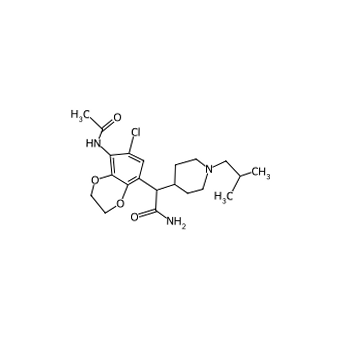 CC(=O)Nc1c(Cl)cc(C(C(N)=O)C2CCN(CC(C)C)CC2)c2c1OCCO2